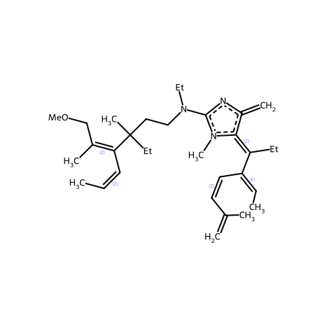 C=C(C)\C=C/C(=C\C)C(/CC)=c1/c(=C)nc(N(CC)CCC(C)(CC)C(/C=C\C)=C(/C)COC)n1C